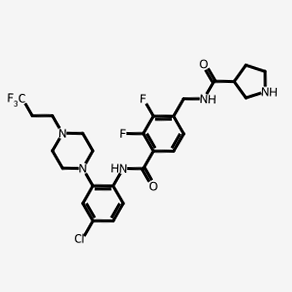 O=C(Nc1ccc(Cl)cc1N1CCN(CCC(F)(F)F)CC1)c1ccc(CNC(=O)C2CCNC2)c(F)c1F